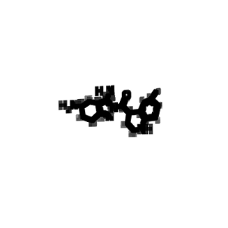 Cc1ccc2c(c1)C(C(=O)n1nc3c(c1N)C[C@H](N)CC3)CCN2